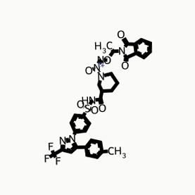 Cc1ccc(-c2cc(C(F)(F)F)nn2-c2ccc(S(=O)(=O)NC(=O)C3CCCN(/[N+]([O-])=N\OC(C)N4C(=O)c5ccccc5C4=O)C3)cc2)cc1